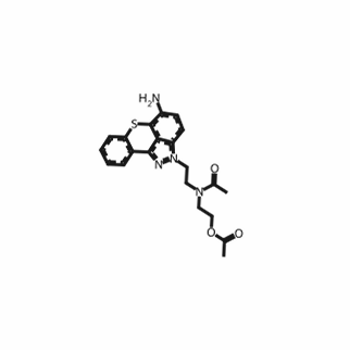 CC(=O)OCCN(CCn1nc2c3c(c(N)ccc31)Sc1ccccc1-2)C(C)=O